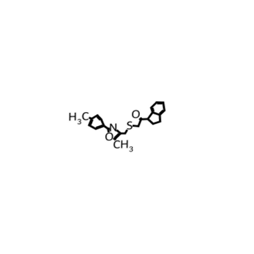 Cc1ccc(-c2nc(CSCC(=O)C3CCc4ccccc43)c(C)o2)cc1